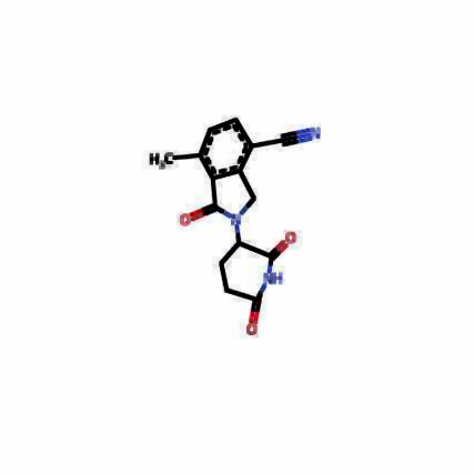 Cc1ccc(C#N)c2c1C(=O)N(C1CCC(=O)NC1=O)C2